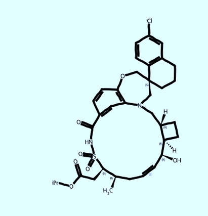 CC(C)OC(=O)C[C@@H]1[C@H](C)C/C=C\[C@H](O)[C@@H]2CC[C@H]2CN2C[C@@]3(CCCc4cc(Cl)ccc43)COc3ccc(cc32)C(=O)NS1(=O)=O